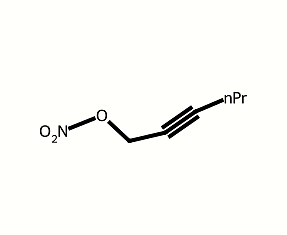 CCCC#CCO[N+](=O)[O-]